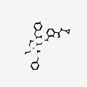 C=CCN1CC(=O)N2C(Cc3ccc(O)cc3)C(=O)N(C(CC)c3cccc4c(C(=O)C5CC5)c[nH]c34)CC2N1C(=O)NCc1ccccc1